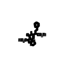 CCOC(=O)[C@H](CCc1ccccc1)NC(C)C(=O)N1CC2(CC1C(=O)O)SCCS2